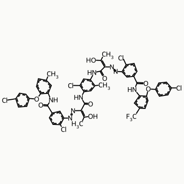 C/C(O)=C(\N=N\c1cc(C(=O)Nc2cc(C(F)(F)F)ccc2Oc2ccc(Cl)cc2)ccc1Cl)C(=O)Nc1cc(Cl)c(NC(=O)C(/N=N/c2cc(C(=O)Nc3cc(C)ccc3Oc3ccc(Cl)cc3)ccc2Cl)=C(/C)O)cc1C